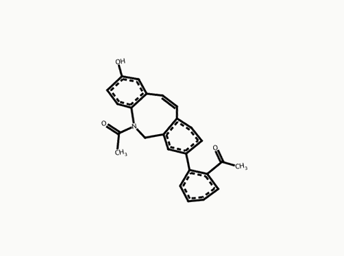 CC(=O)c1ccccc1-c1ccc2c(c1)CN(C(C)=O)c1ccc(O)cc1/C=C\2